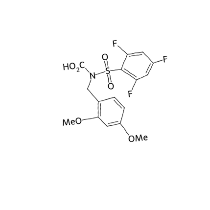 COc1ccc(CN(C(=O)O)S(=O)(=O)c2c(F)cc(F)cc2F)c(OC)c1